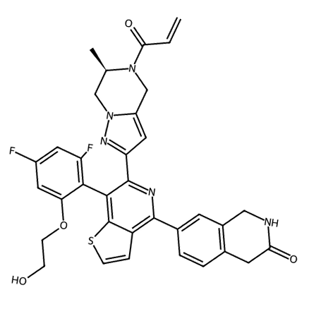 C=CC(=O)N1Cc2cc(-c3nc(-c4ccc5c(c4)CNC(=O)C5)c4ccsc4c3-c3c(F)cc(F)cc3OCCO)nn2C[C@H]1C